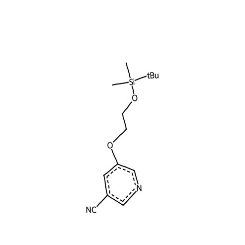 CC(C)(C)[Si](C)(C)OCCOc1cncc(C#N)c1